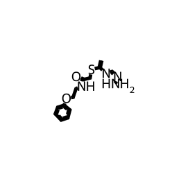 C=C(N/C=N\N)SCC(=O)NCCOc1ccccc1